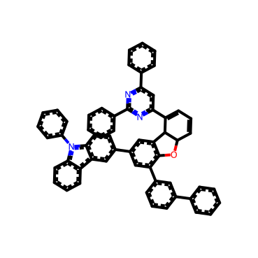 C1=CC2Oc3c(-c4cccc(-c5ccccc5)c4)cc(-c4ccc5c(c4)c4ccccc4n5-c4ccccc4)cc3C2C(c2cc(-c3ccccc3)nc(-c3ccccc3)n2)=C1